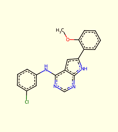 COc1ccccc1-c1cc2c(Nc3cccc(Cl)c3)ncnc2[nH]1